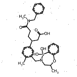 Cc1ccc(C(CCC(=O)N(C)Cc2ccccc2)CC(=O)O)cc1CN1CC(C)Oc2ccccc2S1(O)O